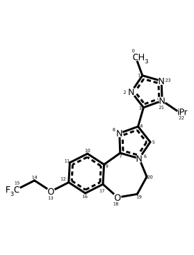 Cc1nc(-c2cn3c(n2)-c2ccc(OCC(F)(F)F)cc2OCC3)n(C(C)C)n1